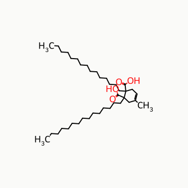 CCCCCCCCCCCCCCCC1(C(=O)O)CC=C(C)CC1(CCCCCCCCCCCCCCC)C(=O)O